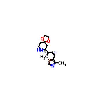 C=C(/C=C\c1scnc1C)[C@@H]1CC2(CCN1)OCCO2